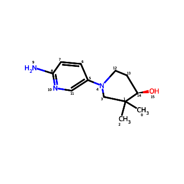 CC1(C)CN(c2ccc(N)nc2)CC[C@H]1O